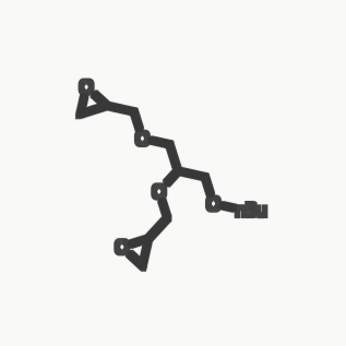 CCCCOCC(COCC1CO1)OCC1CO1